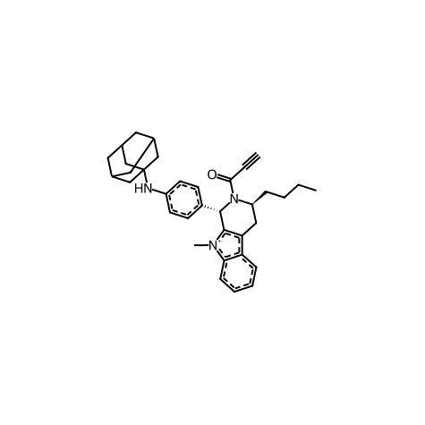 C#CC(=O)N1[C@@H](CCCC)Cc2c(n(C)c3ccccc23)[C@@H]1c1ccc(NC23CC4CC(CC(C4)C2)C3)cc1